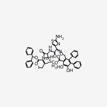 COC(=O)c1c(O)c(O)c(-c2ccccc2)c(-c2ccccc2)c1CO/N=C(\C(=O)NC1C(=O)N2C(C(=O)OC(c3ccccc3)c3ccccc3)=C(CI)CS[C@@H]12)c1csc(N)n1